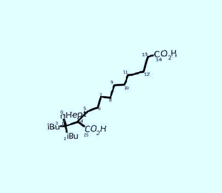 CCCCCCCC(C(C)CC)(C(C)CC)C(CCCCCCCCCC(=O)O)C(=O)O